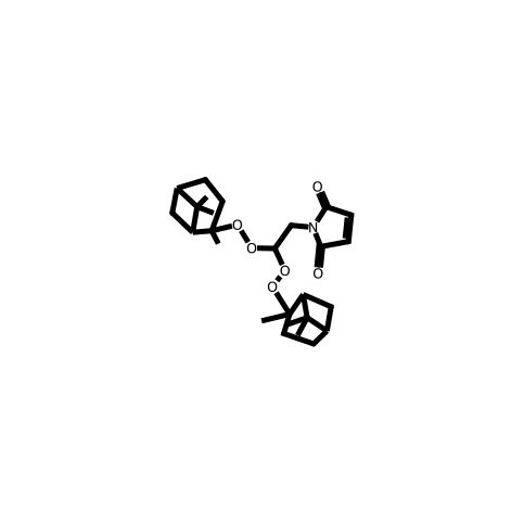 CC1(OOC(CN2C(=O)C=CC2=O)OOC2(C)CCC3CC2C3(C)C)CCC2CC1C2(C)C